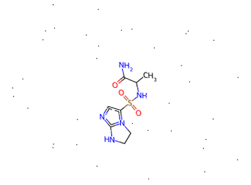 CC(NS(=O)(=O)c1cnc2n1CCN2)C(N)=O